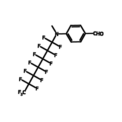 CN(c1ccc(C=O)cc1)C(F)(F)C(F)(F)C(F)(F)C(F)(F)C(F)(F)C(F)(F)C(F)(F)F